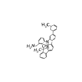 CC1C=CC=C(c2ccc3c4ccc5c(c4n(-c4cccc(CN)c4)c3c2)C(C)(C)c2ccccc2-5)C1